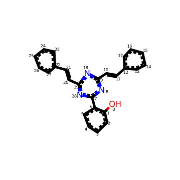 Oc1ccccc1-c1nc(C=Cc2ccccc2)nc(C=Cc2ccccc2)n1